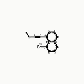 CCC#Cc1cccc2cccc(Br)c12